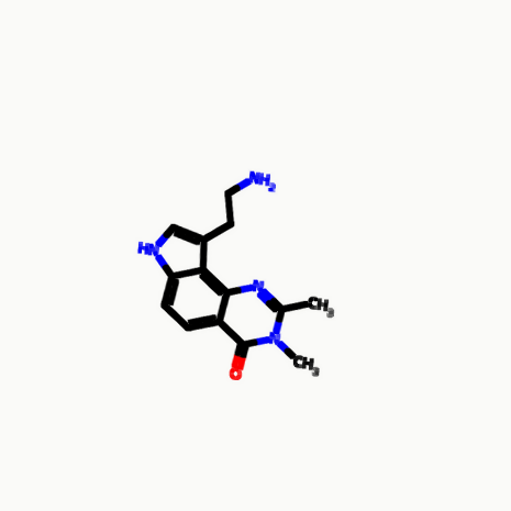 Cc1nc2c(ccc3[nH]cc(CCN)c32)c(=O)n1C